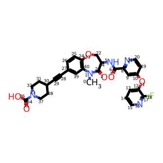 CN1C(=O)C(NC(=O)c2cc(Oc3cccnc3F)ccn2)COc2ccc(C#CC3CCN(C(=O)O)CC3)cc21